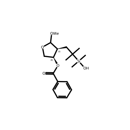 COC1OC[C@H](OC(=O)c2ccccc2)[C@@H]1CC(C)(C)[Si](C)(C)O